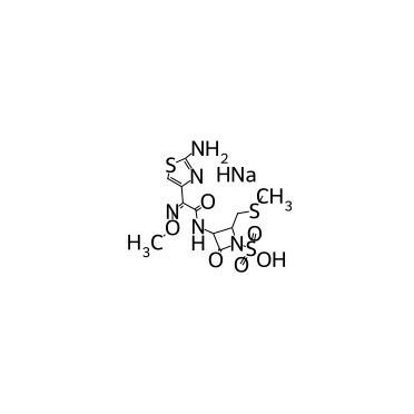 CO/N=C(\C(=O)NC1C(=O)N(S(=O)(=O)O)C1CSC)c1csc(N)n1.[NaH]